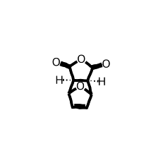 O=C1OC(=O)[C@H]2C3C=CC(O3)[C@@H]12